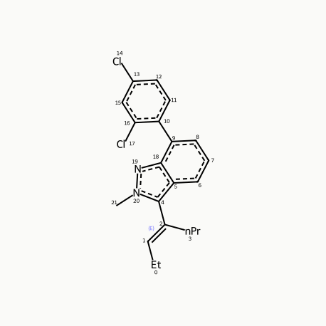 CC/C=C(\CCC)c1c2cccc(-c3ccc(Cl)cc3Cl)c2nn1C